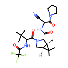 CC(C)(C)[C@H](NC(=O)C(F)(F)F)C(=O)N1C[C@H]2[C@@H]([C@H]1C(=O)NC(C#N)C(=O)N1CCCC1)C2(C)C